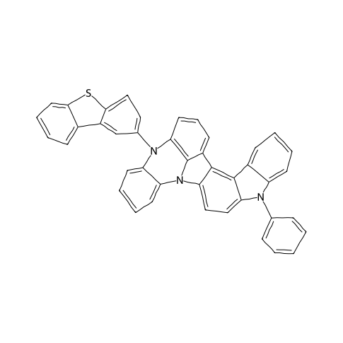 c1ccc(-n2c3ccccc3c3c4c5cccc6c5n(c4ccc32)-c2ccccc2N6c2ccc3sc4ccccc4c3c2)cc1